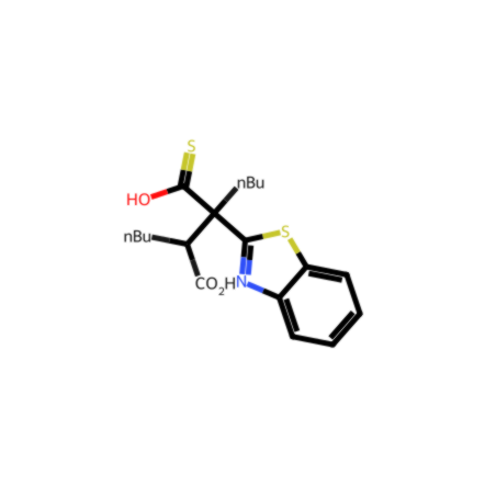 CCCCC(C(=O)O)C(CCCC)(C(O)=S)c1nc2ccccc2s1